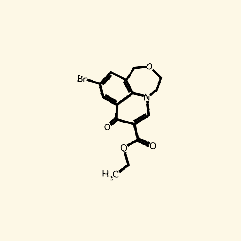 CCOC(=O)c1cn2c3c(cc(Br)cc3c1=O)COCC2